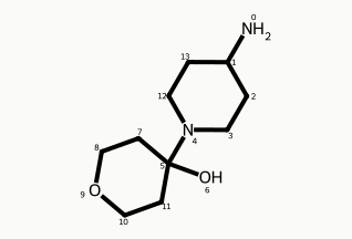 NC1CCN(C2(O)CCOCC2)CC1